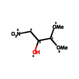 COC(OC)C(O)C[N+](=O)[O-]